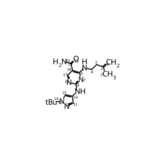 C=C(C)CCNc1nc(Nc2cnn(C(C)(C)C)c2)ncc1C(N)=O